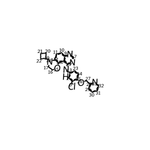 Clc1cc(Nc2ncnc3ccc4c(c23)OCCN4C2[CH]CC2)ccc1OCc1ccccn1